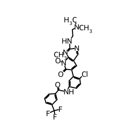 COn1c(=O)c(-c2cc(NC(=O)c3cccc(C(F)(F)F)c3)ccc2Cl)cc2cnc(NCCN(C)C)nc21